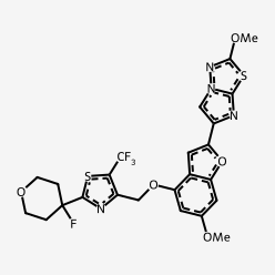 COc1cc(OCc2nc(C3(F)CCOCC3)sc2C(F)(F)F)c2cc(-c3cn4nc(OC)sc4n3)oc2c1